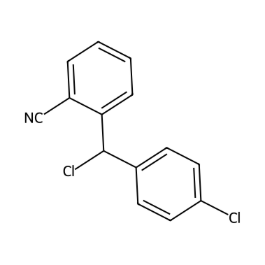 N#Cc1ccccc1C(Cl)c1ccc(Cl)cc1